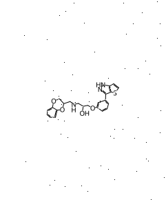 OC(CNCC1COc2ccccc2O1)COc1cccc(-c2n[nH]c3ccsc23)c1